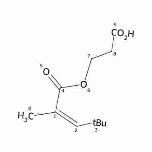 CC(=CC(C)(C)C)C(=O)OCCC(=O)O